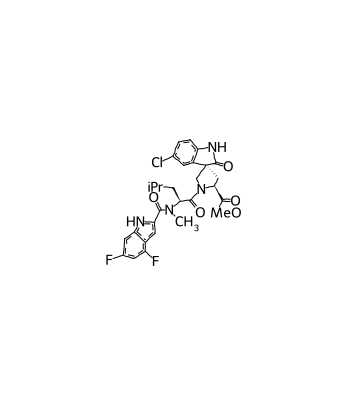 COC(=O)[C@@H]1C[C@@]2(CN1C(=O)[C@H](CC(C)C)N(C)C(=O)c1cc3c(F)cc(F)cc3[nH]1)C(=O)Nc1ccc(Cl)cc12